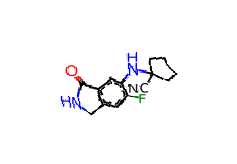 N#CC1(Nc2cc3c(cc2F)CNC3=O)CCCC1